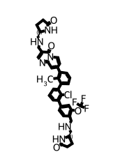 Cc1c(-c2ccn3c(=O)c(CNC[C@H]4CCC(=O)N4)cnc3c2)cccc1-c1cccc(-c2ccc(CNC[C@H]3CCC(=O)N3)c(OC(F)(F)F)c2)c1Cl